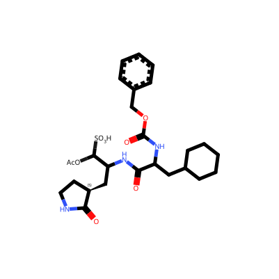 CC(=O)OC(C(C[C@@H]1CCNC1=O)NC(=O)C(CC1CCCCC1)NC(=O)OCc1ccccc1)S(=O)(=O)O